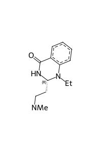 CCN1c2ccccc2C(=O)N[C@H]1CCNC